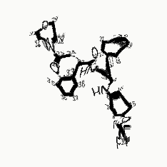 O=C(NC(CNc1ccc(OC(F)(F)F)cc1)c1ccccc1)[C@@H](CC(=O)N1CCOCC1)c1ccccc1